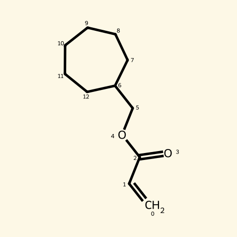 C=CC(=O)OCC1CCCCCC1